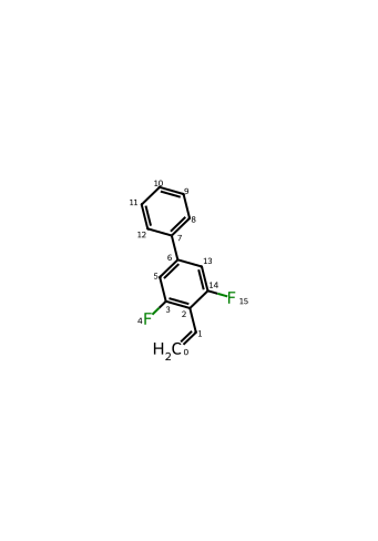 C=Cc1c(F)cc(-c2ccccc2)cc1F